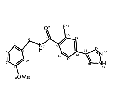 COc1cccc(CNC(=O)c2ccc(-c3cn[nH]c3)cc2F)c1